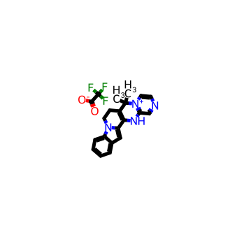 CC1(C)C2=C(Nc3cncc[n+]31)c1cc3ccccc3n1CC2.O=C([O-])C(F)(F)F